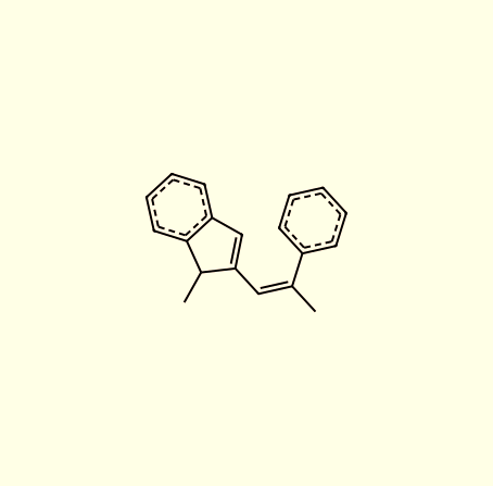 CC(=CC1=Cc2ccccc2C1C)c1ccccc1